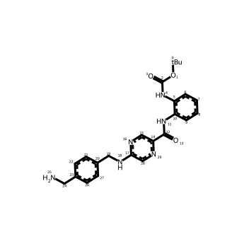 CC(C)(C)OC(=O)Nc1ccccc1NC(=O)c1cnc(NCc2ccc(CN)cc2)cn1